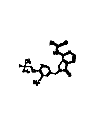 CCC(=O)Nc1nccc2c1CN(Cc1cnc(OCC(C)(C)F)c(C)c1)C2=O